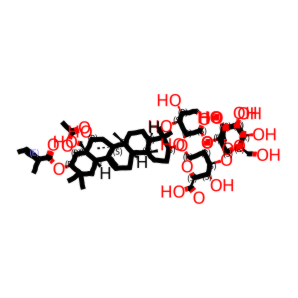 C/C=C(\C)C(=O)O[C@H]1[C@H](OC(C)=O)[C@]2(CO)[C@H](O)C[C@]3(C)C(=CC[C@@H]4[C@@]5(C)CC[C@H](O[C@@H]6O[C@H](C(=O)O)[C@@H](O)[C@H](O[C@@H]7OC[C@H](O)[C@H](O)[C@H]7O[C@@H]7OC[C@@H](O)[C@H](O)[C@H]7O)[C@H]6O[C@@H]6O[C@H](CO)[C@H](O)[C@H](O)[C@H]6O)C(C)(C)[C@@H]5CC[C@]43C)[C@@H]2CC1(C)C